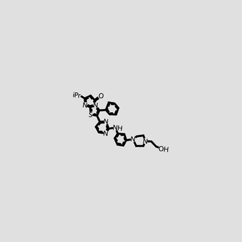 CC(C)c1cc(=O)n2c(-c3ccccc3)c(-c3ccnc(Nc4cccc(N5CCN(CCO)CC5)c4)n3)sc2n1